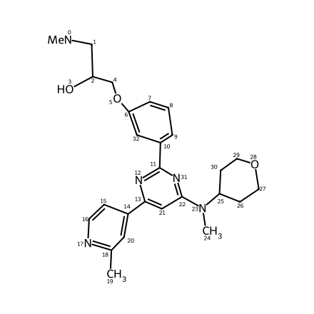 CNCC(O)COc1cccc(-c2nc(-c3ccnc(C)c3)cc(N(C)C3CCOCC3)n2)c1